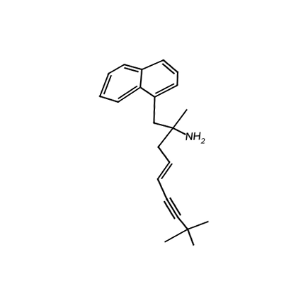 CC(C)(C)C#C/C=C/CC(C)(N)Cc1cccc2ccccc12